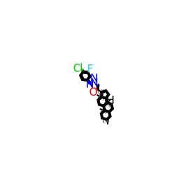 C[C@H]1CC[C@@]2(C)C(CC[C@@H]3C2CC[C@@]2(C)C3CC[C@@H]2C(=O)Cn2nc3ccc(Cl)c(F)c3n2)C1